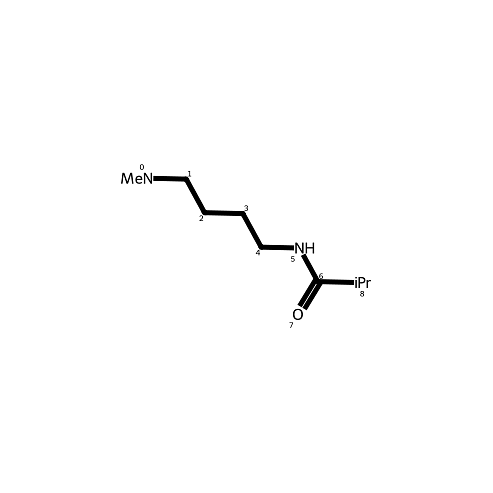 CNCCCCNC(=O)C(C)C